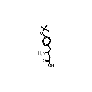 CC(C)(C)Oc1ccc(CC(N)CC(=O)O)cc1